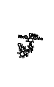 COc1cc(-n2cnc(Nc3nc(Cl)nc4cccc(F)c34)c2)cc(OC)c1OC